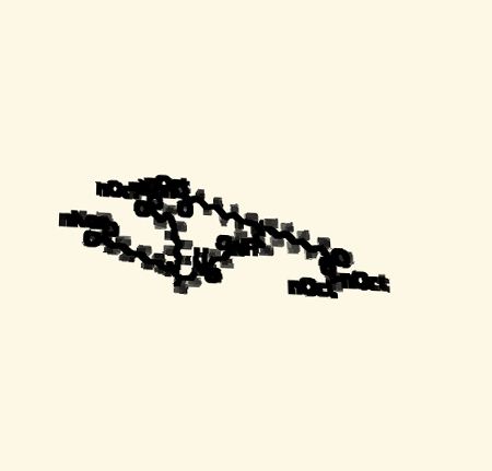 CCCCCCCCCOC(=O)CCCCCCCN(CCCCCCCC(=O)OC(CCCCCCCC)CCCCCCCC)C(C)CNC(=O)CCC(=O)NCC(C)N(CCCCCCCC(=O)OCCCCCCCCC)CCCCCCCC(=O)OC(CCCCCCCC)CCCCCCCC